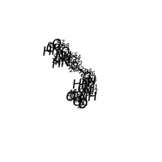 COC(=O)N[C@H](C(=O)N1CCC[C@H]1c1nc2c([nH]1)-c1ccc(C#Cc3ccc4nc([C@@H]5CCCN5C(=O)[C@@H](NC(=O)OC)C5CCOCC5)[nH]c4c3)cc1CC2)C(C)C